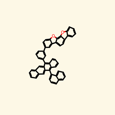 c1cc(-c2ccc3oc4c(ccc5c6ccccc6oc54)c3c2)cc(-c2c3ccccc3c(-c3cccc4ccccc34)c3cc4ccccc4cc23)c1